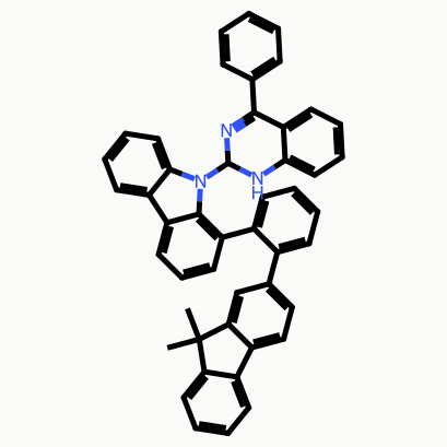 CC1(C)c2ccccc2-c2ccc(-c3ccccc3-c3cccc4c5ccccc5n(C5N=C(c6ccccc6)c6ccccc6N5)c34)cc21